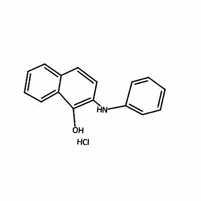 Cl.Oc1c(Nc2ccccc2)ccc2ccccc12